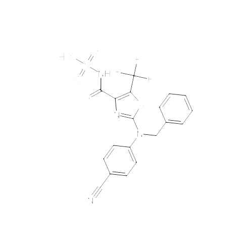 CS(=O)(=O)NC(=O)c1nc(N(Cc2ccccc2)c2ccc(C#N)cc2)sc1C(F)(F)F